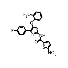 O=C(Nc1nc(-c2ccc(F)cc2)c(Oc2ccccc2C(F)(F)F)s1)c1ccc([N+](=O)[O-])s1